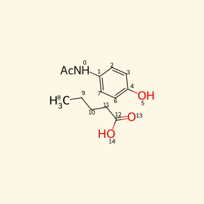 CC(=O)Nc1ccc(O)cc1.CCCCC(=O)O